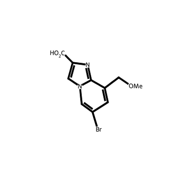 COCc1cc(Br)cn2cc(C(=O)O)nc12